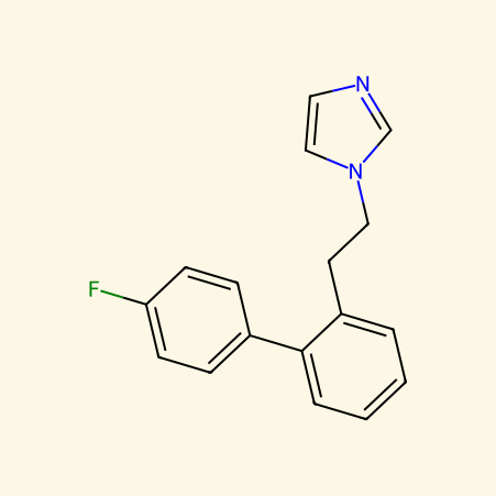 Fc1ccc(-c2ccccc2CCn2ccnc2)cc1